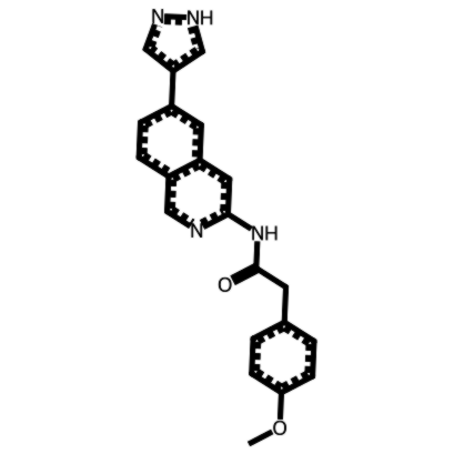 COc1ccc(CC(=O)Nc2cc3cc(-c4cn[nH]c4)ccc3cn2)cc1